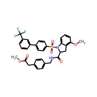 COC(=O)Cc1ccc(CNC(=O)C2Cc3c(OC)cccc3N2S(=O)(=O)c2ccc(-c3cccc(C(F)(F)F)c3)cc2)cc1